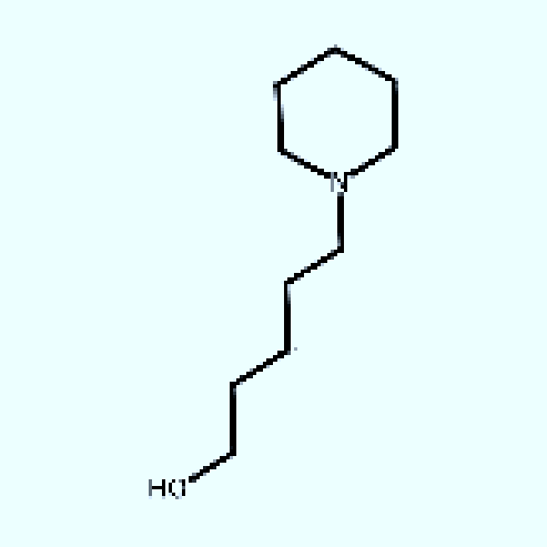 OCC[CH]CCN1CCCCC1